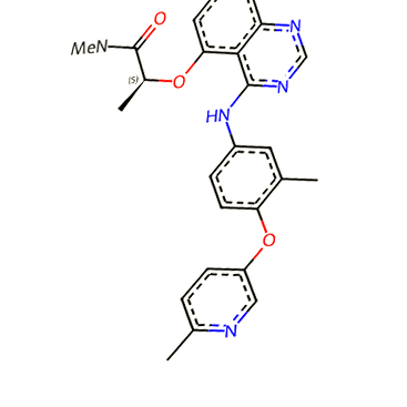 CNC(=O)[C@H](C)Oc1cccc2ncnc(Nc3ccc(Oc4ccc(C)nc4)c(C)c3)c12